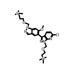 COc1cc2c(cnn2COCC[Si](C)(C)C)cc1-c1nn(COCC[Si](C)(C)C)c2nc(Cl)ccc12